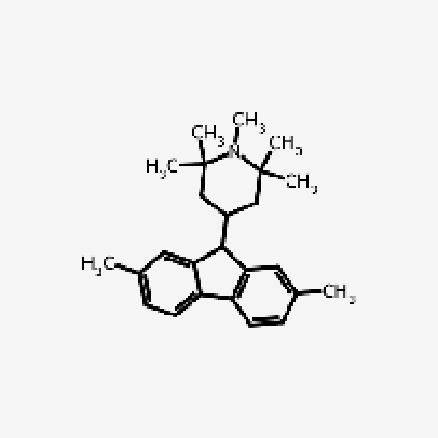 Cc1ccc2c(c1)C(C1CC(C)(C)N(C)C(C)(C)C1)c1cc(C)ccc1-2